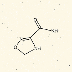 [NH]C(=O)C1=NOCN1